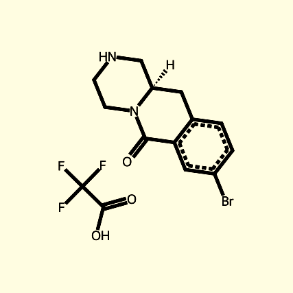 O=C(O)C(F)(F)F.O=C1c2cc(Br)ccc2C[C@@H]2CNCCN12